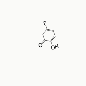 O=C1CC(F)=CC=C1O